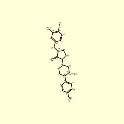 O=C1C(N2CC[C@H](c3ccc(O)cc3)[C@@H](F)C2)CCN1Cc1ccc(F)c(Cl)c1